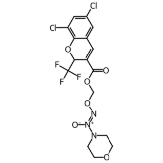 O=C(OCO/N=[N+](\[O-])N1CCOCC1)C1=Cc2cc(Cl)cc(Cl)c2OC1C(F)(F)F